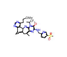 C=C1CC(C)=c2nc(NCc3ccc(S(C)(=O)=O)cn3)c(=O)n([C@@H](C)C(F)(F)F)c2=NC1c1c(CCOC)ncnc1C1CC1